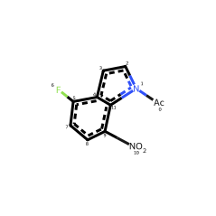 CC(=O)n1ccc2c(F)ccc([N+](=O)[O-])c21